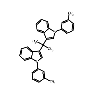 Cc1cccc(-n2cc(C(C)(C)c3cn(-c4cccc(C)c4)c4ccccc34)c3ccccc32)c1